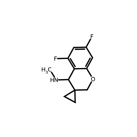 CNC1c2c(F)cc(F)cc2OCC12CC2